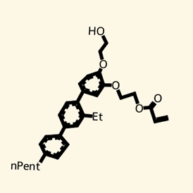 C=CC(=O)OCCOc1cc(-c2ccc(-c3ccc(CCCCC)cc3)cc2CC)ccc1OCCO